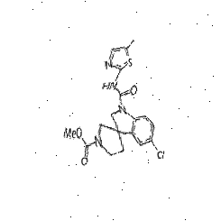 COC(=O)N1CCC2(C1)CN(C(=O)Nc1ncc(C)s1)c1ccc(Cl)cc12